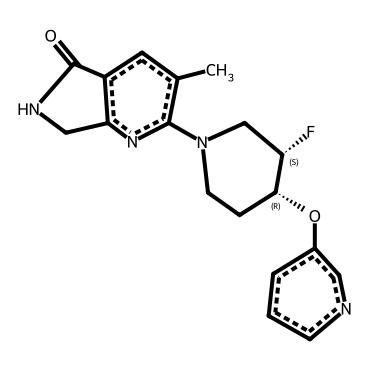 Cc1cc2c(nc1N1CC[C@@H](Oc3cccnc3)[C@@H](F)C1)CNC2=O